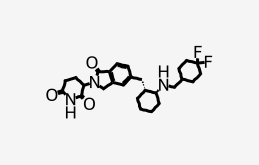 O=C1CCC(N2Cc3cc(C[C@H]4CCCC[C@@H]4NCC4CCC(F)(F)CC4)ccc3C2=O)C(=O)N1